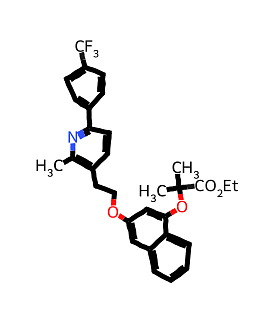 CCOC(=O)C(C)(C)Oc1cc(OCCc2ccc(-c3ccc(C(F)(F)F)cc3)nc2C)cc2ccccc12